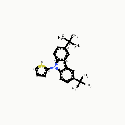 CC(C)(C)c1ccc2c(c1)c1cc(C(C)(C)C)ccc1n2-c1cc[c]s1